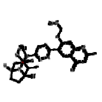 COCOc1cc2oc(C)cc(=O)c2cc1-c1ncc(N(C)[C@@H]2C[C@H]3CC[C@@H]([C@@H]2F)N3C(=O)OC(C)(C)C)nn1